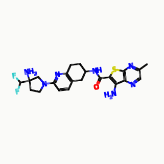 Cc1cnc2c(N)c(C(=O)NC3CCc4nc(N5CCC(N)(C(F)F)C5)ccc4C3)sc2n1